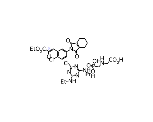 CCNc1nc(Cl)nc(NC(C)C)n1.CCOC(=O)/C(Cl)=C/c1cc(N2C(=O)C3=C(CCCC3)C2=O)ccc1Cl.O=C(O)CNCP(=O)(O)O